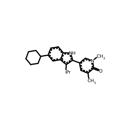 Cc1cc(-c2[nH]c3ccc(C4CCCCC4)cc3c2C(C)C)cn(C)c1=O